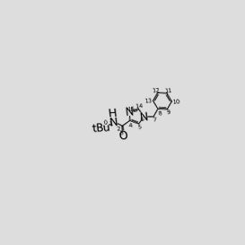 CC(C)(C)NC(=O)c1cn(Cc2ccccc2)cn1